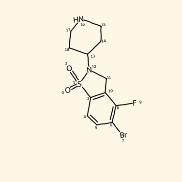 O=S1(=O)c2ccc(Br)c(F)c2CN1C1CCNCC1